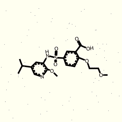 COCCOc1ccc(S(=O)(=O)Nc2cc(C(C)C)cnc2OC)cc1C(=O)O